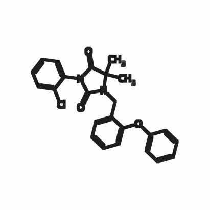 CC1(C)C(=O)N(c2ccccc2Cl)C(=O)N1Cc1ccccc1Oc1ccccc1